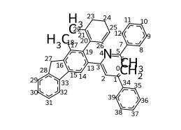 C=C(/C=C(\N=C(/C)c1ccccc1)c1cc2c(c(C)c1C1=C(C)CCC=C1)Cc1ccccc1-2)c1ccccc1